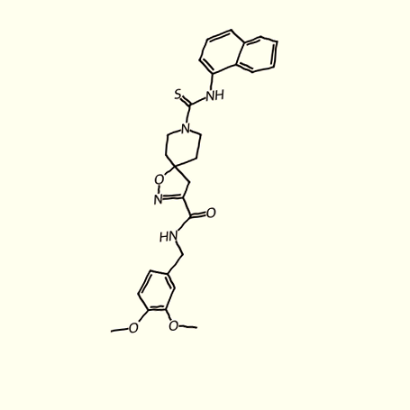 COc1ccc(CNC(=O)C2=NOC3(CCN(C(=S)Nc4cccc5ccccc45)CC3)C2)cc1OC